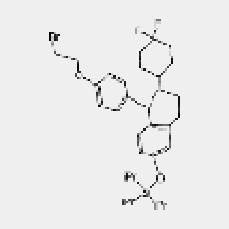 CC(C)[Si](Oc1ccc2c(c1)CCC(C1CCC(F)(F)CC1)C2c1ccc(OCCBr)cc1)(C(C)C)C(C)C